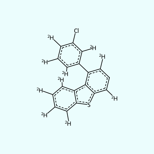 [2H]c1cc([2H])c2sc3c([2H])c([2H])c([2H])c([2H])c3c2c1-c1c([2H])c([2H])c([2H])c(Cl)c1[2H]